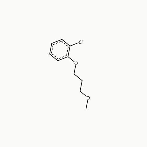 COCCCOc1c[c]ccc1Cl